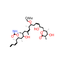 C=C/C=C\[C@H](C)[C@H](OC(N)=O)[C@@H](C)[C@H](O)[C@@H](C)C/C(C)=C\[C@H](C)[C@@H](OCOC)[C@@H](C)/C=C\[C@@H](O)C[C@@H]1OC(=O)[C@H](C)[C@@H](O)[C@H]1C